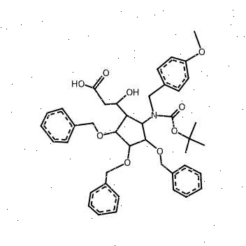 COc1ccc(CN(C(=O)OC(C)(C)C)C2C(OCc3ccccc3)C(OCc3ccccc3)C(OCc3ccccc3)C2C(O)CC(=O)O)cc1